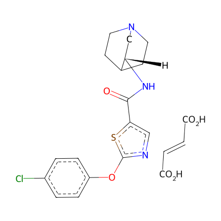 O=C(N[C@H]1CN2CCC1CC2)c1cnc(Oc2ccc(Cl)cc2)s1.O=C(O)C=CC(=O)O